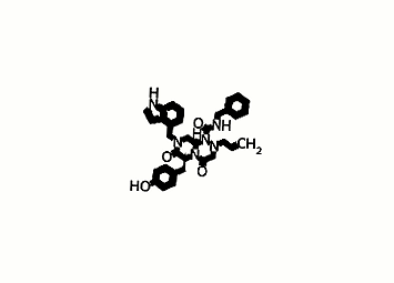 C=CCN1CC(=O)N2[C@@H](Cc3ccc(O)cc3)C(=O)N(Cc3cccc4[nH]ccc34)C[C@@H]2N1C(=O)NCc1ccccc1